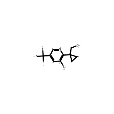 OCC1(c2ncc(C(F)(F)F)cc2Cl)CC1